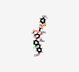 CCCCO[C@@H]1[C@@H](OCCCC)[C@H](c2ccc(Cl)c(Cc3ccc(OCC)cc3)c2)O[C@H](CO)[C@H]1OCCOS(=O)(=O)c1ccc(C)cc1